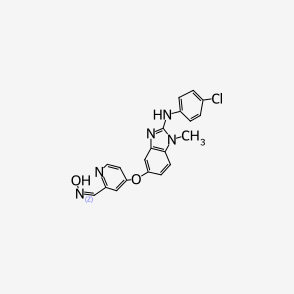 Cn1c(Nc2ccc(Cl)cc2)nc2cc(Oc3ccnc(/C=N\O)c3)ccc21